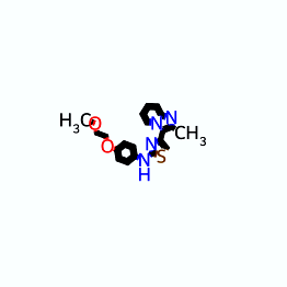 COCCOc1ccc(Nc2nc(-c3c(C)nc4ccccn34)cs2)cc1